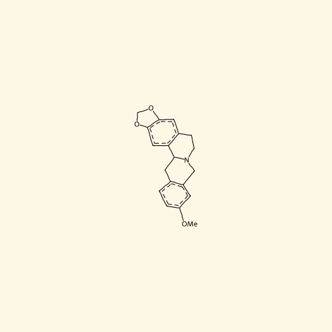 COc1ccc2c(c1)CN1CCc3cc4c(cc3C1C2)OCO4